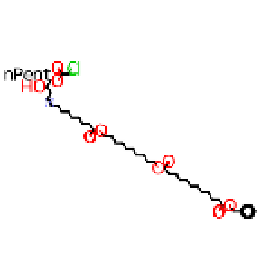 CCCCCC(OC(=O)CCl)C(O)C/C=C\CCCCCCCC(=O)OCCCCCCCCCCOC(=O)CCCCCCCCCCC(=O)OCc1ccccc1